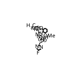 COc1cccc(OC)c1-n1c(NS(=O)(=O)CCc2ncc(F)cn2)nnc1-c1nc(C)cs1